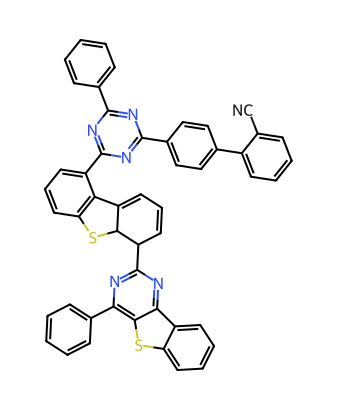 N#Cc1ccccc1-c1ccc(-c2nc(-c3ccccc3)nc(-c3cccc4c3C3=CC=CC(c5nc(-c6ccccc6)c6sc7ccccc7c6n5)C3S4)n2)cc1